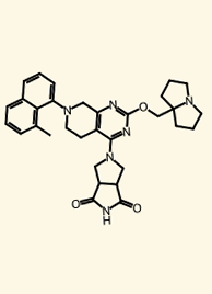 Cc1cccc2cccc(N3CCc4c(nc(OCC56CCCN5CCC6)nc4N4CC5C(=O)NC(=O)C5C4)C3)c12